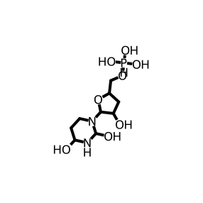 OC1CCN(C2OC(CO[PH](O)(O)O)CC2O)C(O)N1